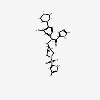 Cc1csc(S(=O)(=O)N2CC3C(CN(C(=O)c4cccs4)c4ccc(N5CCOCC5)c(F)c4)C3C2)c1